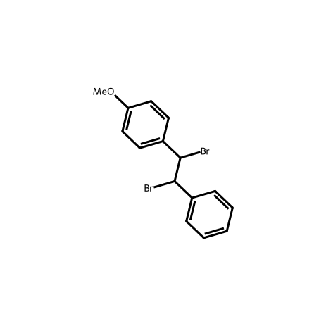 COc1ccc(C(Br)C(Br)c2ccccc2)cc1